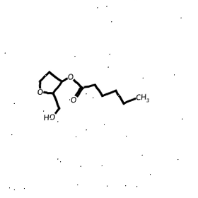 CCCCCC(=O)OC1CCOC1CO